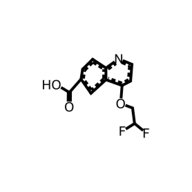 O=C(O)c1ccc2nccc(OCC(F)F)c2c1